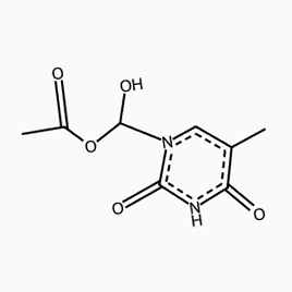 CC(=O)OC(O)n1cc(C)c(=O)[nH]c1=O